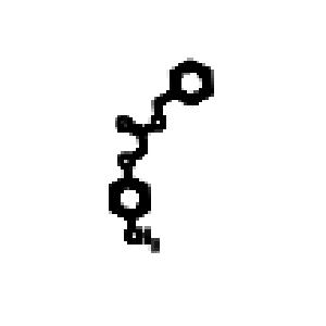 Cc1ccc(OCC(=O)OCc2ccccc2)cc1